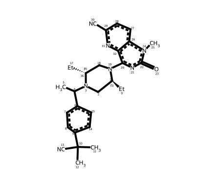 CC[C@H]1CN(C(C)c2ccc(C(C)(C)C#N)cc2)[C@H](CC)CN1c1nc(=O)n(C)c2ccc(C#N)nc12